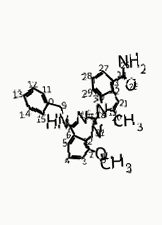 COc1cccc2c(NCc3ccccc3)nc(-n3c(C)cc4c(C(N)=O)cccc43)nc12